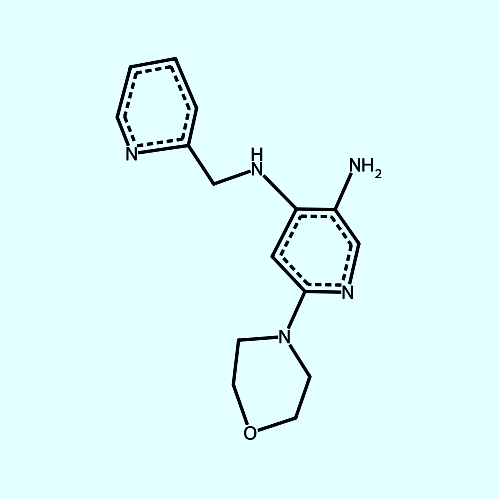 Nc1cnc(N2CCOCC2)cc1NCc1ccccn1